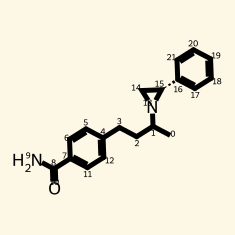 CC(CCc1ccc(C(N)=O)cc1)N1C[C@@H]1c1ccccc1